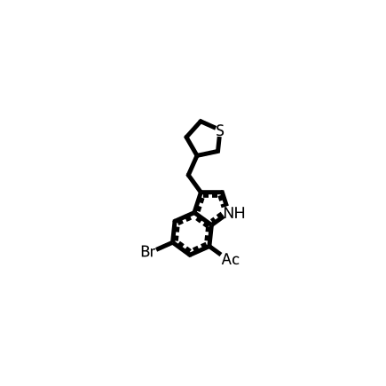 CC(=O)c1cc(Br)cc2c(CC3CCSC3)c[nH]c12